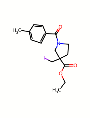 CCOC(=O)C1(CI)CCN(C(=O)c2ccc(C)cc2)C1